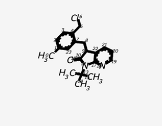 Cc1ccc(CCl)c(CC2C(=O)N(C(C)(C)C)c3ncccc32)c1